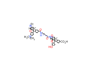 CC/N=c1\ccc2c(-c3ccc(C(=O)NC/C=C/C=C/C(=O)NCc4c5oc6cc(O)ccc6c(-c6ccc(C(=O)O)cc6C(=O)O)c-5ccc4=O)cc3C(=O)O)c3ccc(N(C)C)cc3oc-2c1